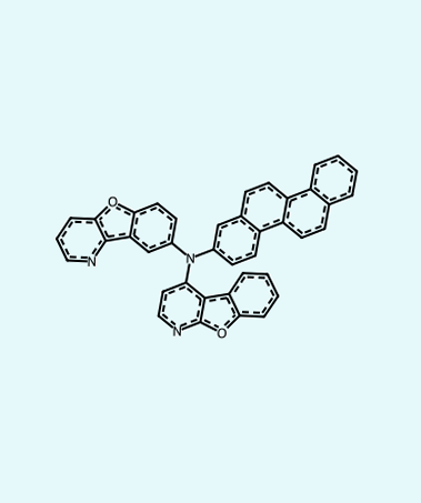 c1ccc2c(c1)ccc1c3ccc(N(c4ccc5oc6cccnc6c5c4)c4ccnc5oc6ccccc6c45)cc3ccc21